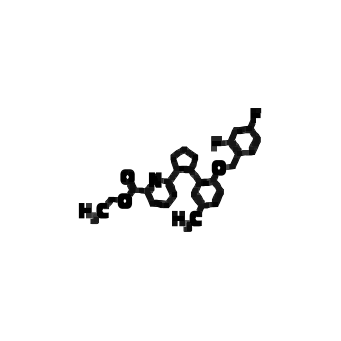 CCOC(=O)c1cccc(C2=C(c3cc(C)ccc3OCc3ccc(F)cc3F)CCC2)n1